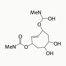 CNC(=O)OC1/C=C/C(OC(O)NC)CC(O)C(O)C1